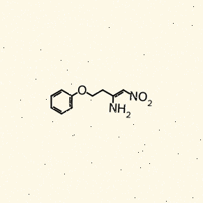 NC(=C[N+](=O)[O-])CCOc1ccccc1